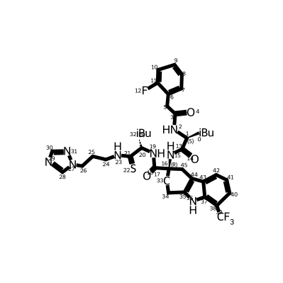 CCC(C)[C@H](NC(=O)Cc1ccccc1F)C(=O)N[C@]1(C(=O)NC(C(=S)NCCCn2cncn2)[C@@H](C)CC)CCc2[nH]c3c(C(F)(F)F)cccc3c2C1